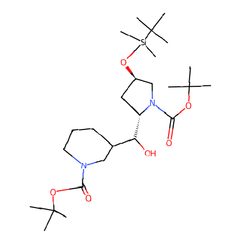 CC(C)(C)OC(=O)N1CCCC(C(O)[C@@H]2C[C@@H](O[Si](C)(C)C(C)(C)C)CN2C(=O)OC(C)(C)C)C1